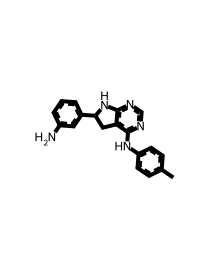 Cc1ccc(Nc2ncnc3c2CC(c2cccc(N)c2)N3)cc1